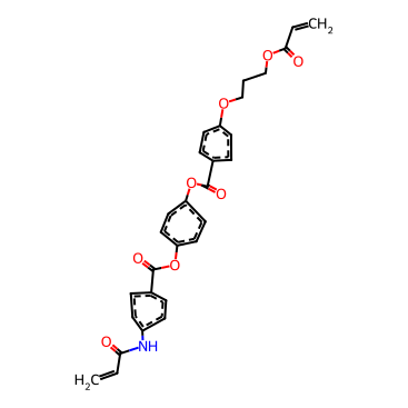 C=CC(=O)Nc1ccc(C(=O)Oc2ccc(OC(=O)c3ccc(OCCCOC(=O)C=C)cc3)cc2)cc1